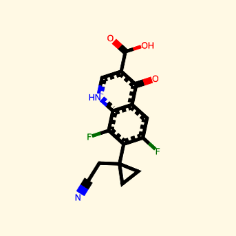 N#CCC1(c2c(F)cc3c(=O)c(C(=O)O)c[nH]c3c2F)CC1